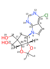 CC1(C)O[C@H]2[C@H](n3ccc4c(Cl)ncnc43)CC(CO)(CO)[C@H]2O1